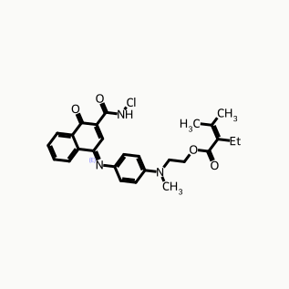 CCC(C(=O)OCCN(C)c1ccc(/N=C2\C=C(C(=O)NCl)C(=O)c3ccccc32)cc1)=C(C)C